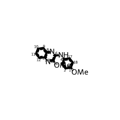 COc1ccc(Nc2nc3ccccc3nc2OC)cc1